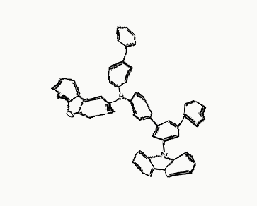 C1=CC2c3ccccc3N(c3cc(-c4ccccc4)cc(-c4ccc(N(c5ccc(-c6ccccc6)cc5)c5ccc6oc7ccccc7c6c5)cc4)c3)C2C=C1